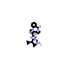 NCN1OC(c2ncn3c2[C@@H]2CCN2C(=O)c2ccccc2-3)=NC1C(C1CC1)C1CC1